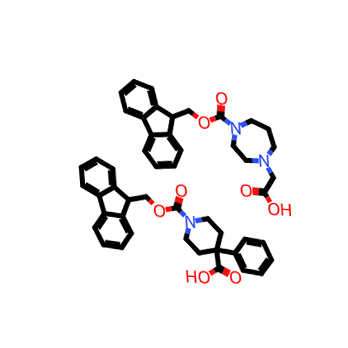 O=C(O)CN1CCCN(C(=O)OCC2c3ccccc3-c3ccccc32)CC1.O=C(OCC1c2ccccc2-c2ccccc21)N1CCC(C(=O)O)(c2ccccc2)CC1